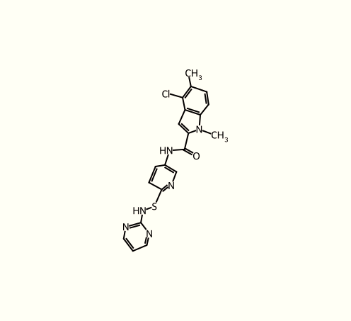 Cc1ccc2c(cc(C(=O)Nc3ccc(SNc4ncccn4)nc3)n2C)c1Cl